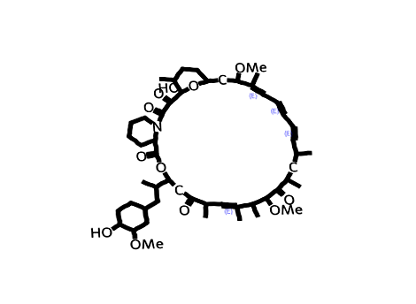 COC1CC2CCC(C)C(O)(O2)C(=O)C(=O)N2CCCCC2C(=O)OC(C(C)CC2CCC(O)C(OC)C2)CC(=O)C(C)/C=C(\C)C(C)C(OC)C(=O)C(C)CC(C)/C=C/C=C/C=C/1C